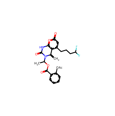 C=C1c2c(CCCC(F)F)cc(=O)oc2NC(=O)N1C(C)OC(=O)c1ccccc1OC(C)=O